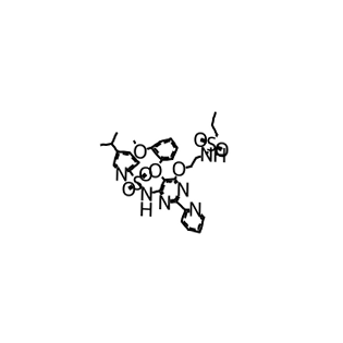 CCCS(=O)(=O)NCCOc1nc(-c2ccccn2)nc(NS(=O)(=O)c2ccc(C(C)C)cn2)c1Oc1ccccc1OC